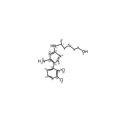 CC(CSCCO)Nc1nnc(-c2cccc(Cl)c2Cl)c(N)n1